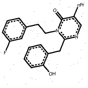 CCCc1cnc(Cc2ccccc2O)n(CCc2cccc(F)c2)c1=O